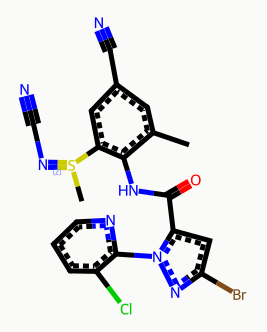 Cc1cc(C#N)cc(/S(C)=N\C#N)c1NC(=O)c1cc(Br)nn1-c1ncccc1Cl